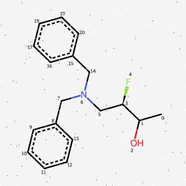 CC(O)[C@H](F)CN(Cc1ccccc1)Cc1ccccc1